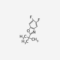 CC(C)(C)c1nc2cc(F)c(F)cc2o1